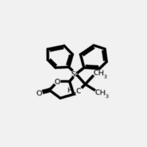 CC(C)(C)[Si](c1ccccc1)(c1ccccc1)C1CCC(=O)O1